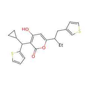 CCC(Cc1ccsc1)c1cc(O)c(C(c2cccs2)C2CC2)c(=O)o1